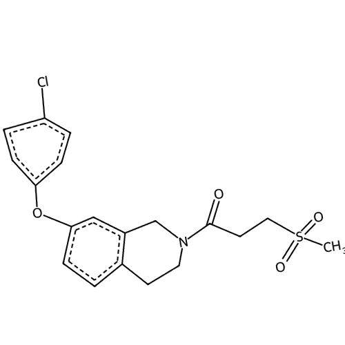 CS(=O)(=O)CCC(=O)N1CCc2ccc(Oc3ccc(Cl)cc3)cc2C1